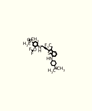 CN(C)C1CCC(Nc2cccc3c(CC(F)(F)F)c(C#CCNc4ccc(P(C)(C)=O)cc4OC(F)F)sc23)CC1